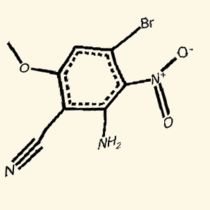 COc1cc(Br)c([N+](=O)[O-])c(N)c1C#N